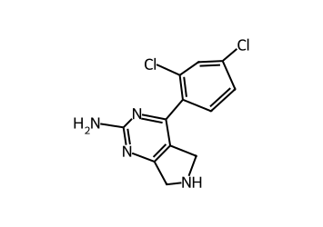 Nc1nc2c(c(-c3ccc(Cl)cc3Cl)n1)CNC2